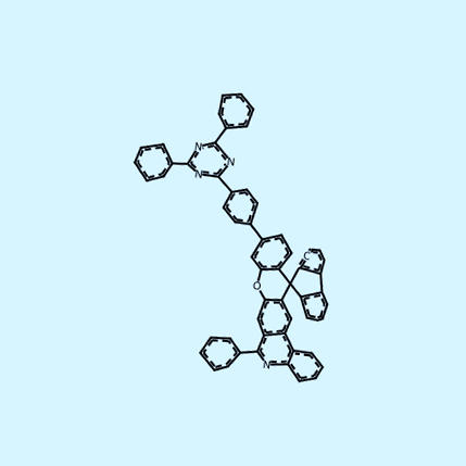 c1ccc(-c2nc(-c3ccccc3)nc(-c3ccc(-c4ccc5c(c4)Oc4cc6c(-c7ccccc7)nc7ccccc7c6cc4C54c5ccccc5-c5ccccc54)cc3)n2)cc1